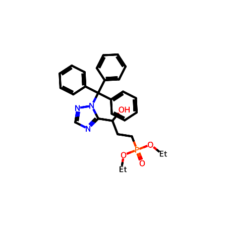 CCOP(=O)(CCC(O)c1ncnn1C(c1ccccc1)(c1ccccc1)c1ccccc1)OCC